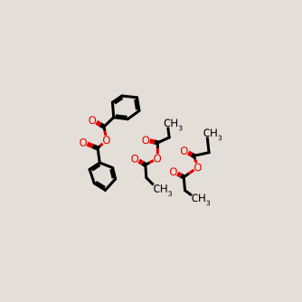 CCC(=O)OC(=O)CC.CCC(=O)OC(=O)CC.O=C(OC(=O)c1ccccc1)c1ccccc1